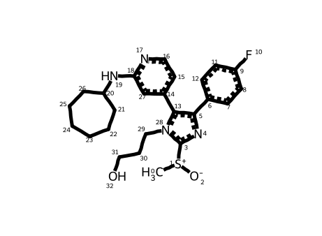 C[S+]([O-])c1nc(-c2ccc(F)cc2)c(-c2ccnc(NC3CCCCCC3)c2)n1CCCO